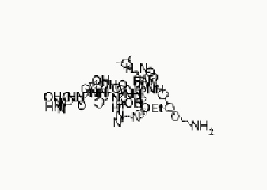 CCc1cc(OCCCCN)ccc1-c1ccc(C[C@H](NC(=O)C(CC(=O)O[C@@H]2CCN(CCc3cnc[nH]3)C2)NC(=O)C(CO)NC(=O)C(NC(=O)C(C)(Cc2ccccc2F)NC(=O)C(NC(=O)CNC(=O)C(Cc2nn[nH]n2)NC=O)[C@@H](C)O)[C@@H](C)O)C(=O)N[C@@H](CCCc2cc(C)cc(C)c2)C(N)=O)cc1